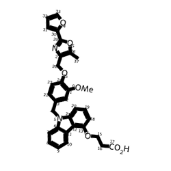 COc1cc(Cn2c3ccccc3c3c(OCCC(=O)O)cccc32)ccc1OCc1nc(-c2ccco2)oc1C